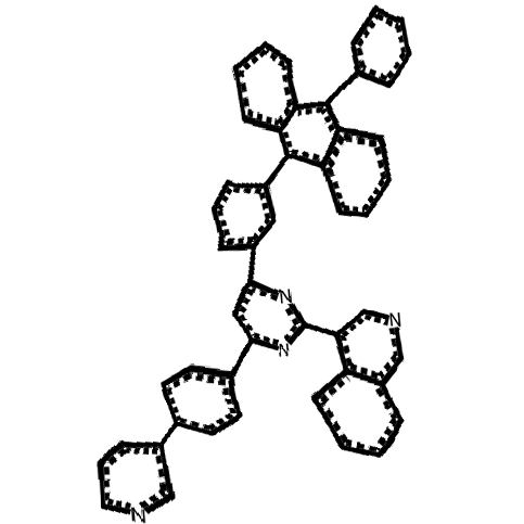 c1ccc(-c2c3ccccc3c(-c3cccc(-c4cc(-c5ccc(-c6cccnc6)cc5)nc(-c5cncc6ccccc56)n4)c3)c3ccccc23)cc1